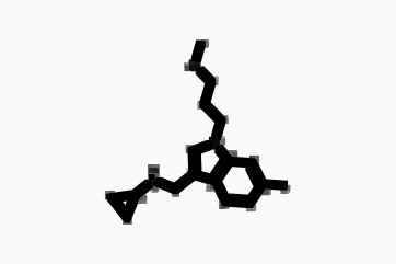 COCCCn1cc(CNC2CC2)c2ccc(C)cc21